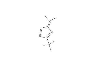 CC(C)=C1C=CC(C(C)(C)C)=N1